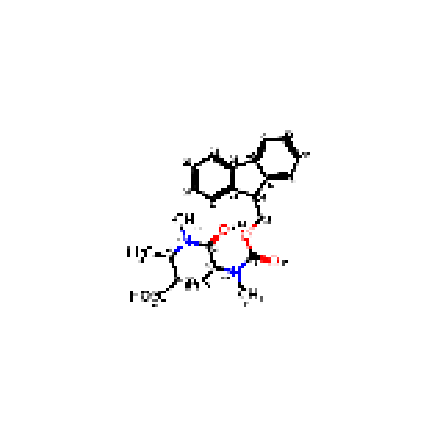 CC(C)[C@@H](C(=O)N(C)[C@H](C)CC(=O)O)N(C)C(=O)OCC1c2ccccc2-c2ccccc21